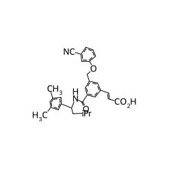 Cc1cc(C)cc(C(CC(C)C)NC(=O)c2cc(C=CC(=O)O)cc(COc3cccc(C#N)c3)c2)c1